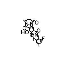 COC[C@@H]1C=C[C@H](C)N2CN1n1cc(C(=O)NCc3c(F)cc(C)cc3F)c(=O)c(O)c1C2=O